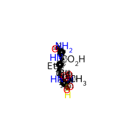 CCc1cc(C(Nc2cccc(C(N)=O)c2)C(=O)O)ccc1CCCC(=O)Nc1ccc([SH](=O)=O)c(CN(C)C(=O)OC(C)(C)C)c1